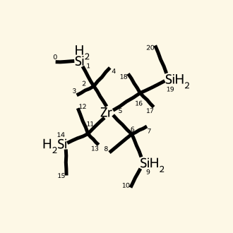 C[SiH2][C](C)(C)[Zr]([C](C)(C)[SiH2]C)([C](C)(C)[SiH2]C)[C](C)(C)[SiH2]C